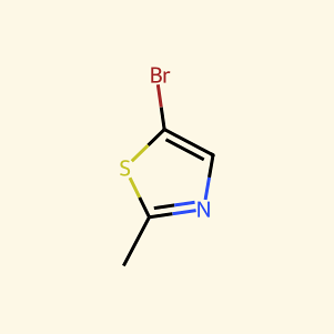 Cc1ncc(Br)s1